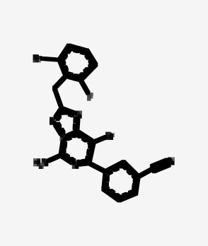 N#Cc1cccc(-c2nc(N)n3nc(Cc4c(F)cccc4Br)nc3c2Br)c1